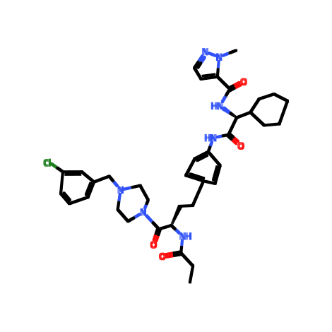 CCC(=O)N[C@H](CCc1ccc(NC(=O)[C@@H](NC(=O)c2ccnn2C)C2CCCCC2)cc1)C(=O)N1CCN(Cc2cccc(Cl)c2)CC1